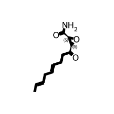 CC=CCC=CCCC(=O)[C@@H]1O[C@@H]1C(N)=O